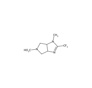 CN1C(C(F)(F)F)=NC2CN(C(=O)O)CC21